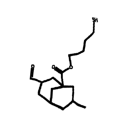 CC1CC2CC(C=O)CC(C(=O)OCCCCS)(C1)C2